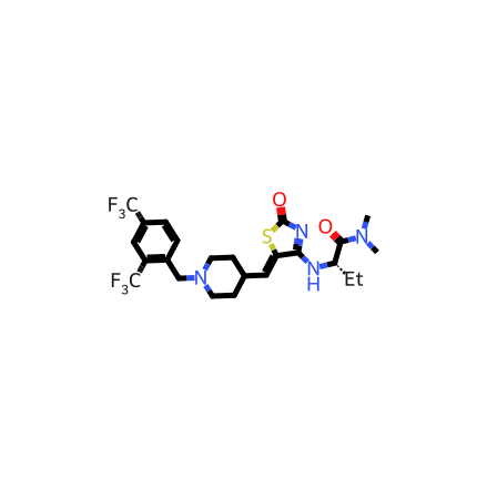 CC[C@H](NC1=NC(=O)S/C1=C\C1CCN(Cc2ccc(C(F)(F)F)cc2C(F)(F)F)CC1)C(=O)N(C)C